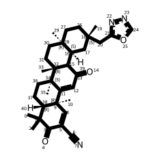 CC1(C)C(=O)C(C#N)=C[C@]2(C)C3=CC(=O)C4[C@@H]5C[C@@](C)(Cc6nnco6)CC[C@]5(C)CC[C@@]4(C)[C@]3(C)CC[C@@H]12